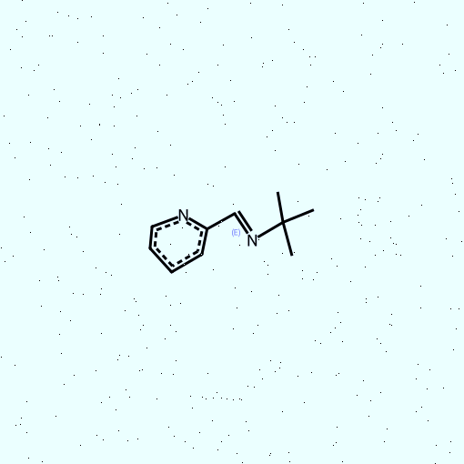 CC(C)(C)/N=C/c1ccccn1